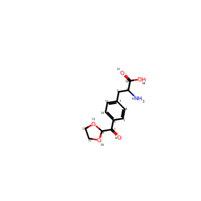 NC(Cc1ccc(C(=O)C2OCCO2)cc1)C(=O)O